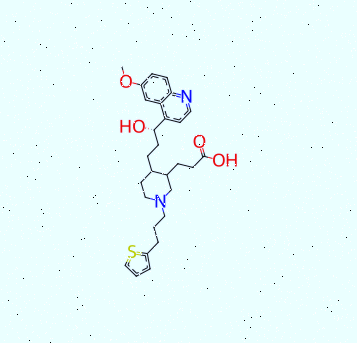 COc1ccc2nccc([C@@H](O)CCC3CCN(CCCc4cccs4)CC3CCC(=O)O)c2c1